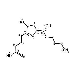 CCCCC[C@@H](O)[C@H]1CC(O)[C@H](CCCC(=O)O)O1